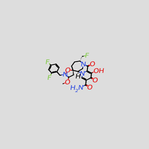 COC1C[C@]2(CC[C@H](CF)N3C[C@H]2n2cc(C(N)=O)c(=O)c(O)c2C3=O)ON1Cc1ccc(F)cc1F